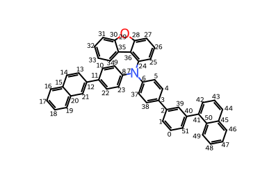 c1cc(-c2ccc(N(c3ccc(-c4ccc5ccccc5c4)cc3)c3cccc4oc5ccccc5c34)cc2)cc(-c2cccc3ccccc23)c1